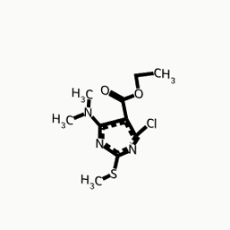 CCOC(=O)c1c(Cl)nc(SC)nc1N(C)C